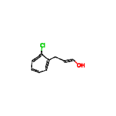 O/C=C/Cc1ccccc1Cl